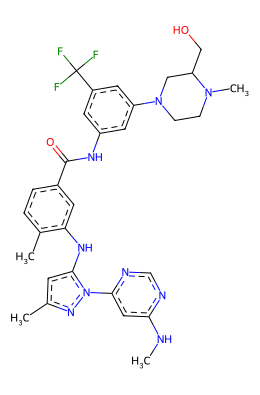 CNc1cc(-n2nc(C)cc2Nc2cc(C(=O)Nc3cc(N4CCN(C)C(CO)C4)cc(C(F)(F)F)c3)ccc2C)ncn1